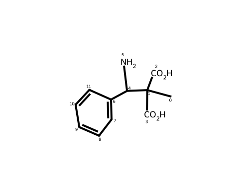 CC(C(=O)O)(C(=O)O)C(N)c1ccccc1